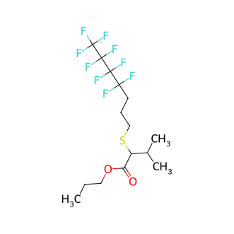 CCCOC(=O)C(SCCCC(F)(F)C(F)(F)C(F)(F)C(F)(F)F)C(C)C